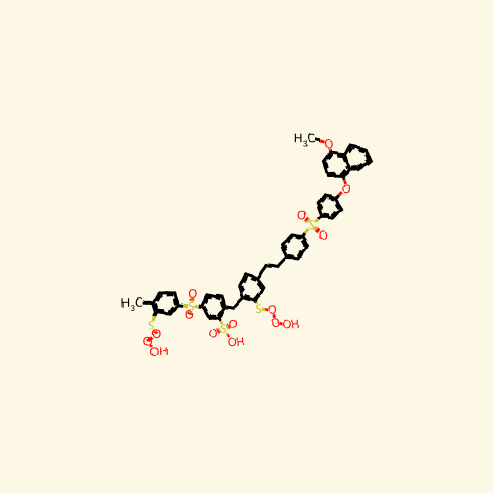 COc1ccc(Oc2ccc(S(=O)(=O)c3ccc(CCc4ccc(Cc5ccc(S(=O)(=O)c6ccc(C)c(SOOO)c6)cc5S(=O)(=O)O)c(SOOO)c4)cc3)cc2)c2ccccc12